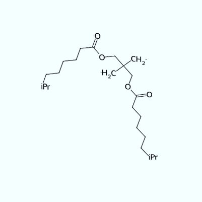 [CH2]C([CH2])(COC(=O)CCCCCC(C)C)COC(=O)CCCCCC(C)C